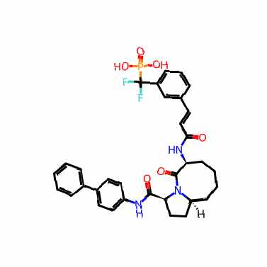 O=C(/C=C/c1cccc(C(F)(F)P(=O)(O)O)c1)N[C@H]1CCCC[C@H]2CC[C@@H](C(=O)Nc3ccc(-c4ccccc4)cc3)N2C1=O